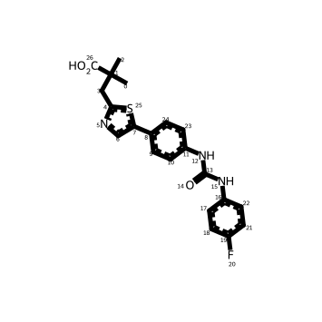 CC(C)(Cc1ncc(-c2ccc(NC(=O)Nc3ccc(F)cc3)cc2)s1)C(=O)O